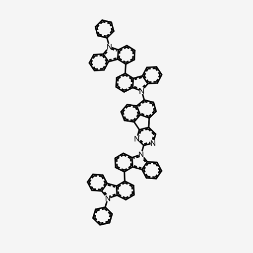 c1ccc(-n2c3ccccc3c3c(-c4cccc5c4c4ccccc4n5-c4ncc5c(n4)-c4cccc6c(-n7c8ccccc8c8c(-c9cccc%10c9c9ccccc9n%10-c9ccccc9)cccc87)ccc-5c46)cccc32)cc1